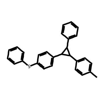 Cc1ccc(C2C(c3ccccc3)C2c2ccc(Sc3ccccc3)cc2)cc1